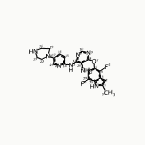 Cc1cc2c(F)c(Oc3ncnc(Nc4ccc(N5CCNCC5)cn4)c3N)cc(F)c2[nH]1